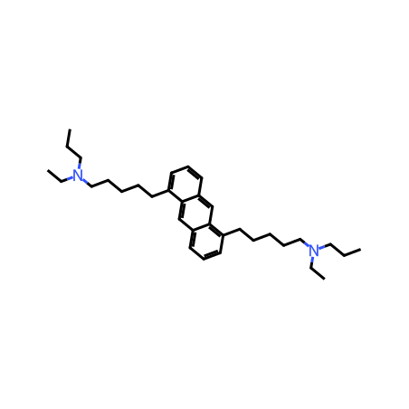 CCCN(CC)CCCCCc1cccc2cc3c(CCCCCN(CC)CCC)cccc3cc12